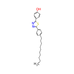 CCCCCCCCCCc1ccc(-c2nnc(-c3ccc(O)cc3)s2)cc1